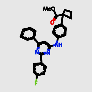 COC(=O)C1(c2ccc(Nc3cc(-c4ccccc4)nc(-c4ccc(F)cc4)n3)cc2)CCC1